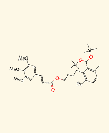 COc1cc(C=CC(=O)OCCCCc2c(C(C)C)ccc(C)c2C(O[Si](C)(C)C)O[Si](C)(C)C)cc(OC)c1OC